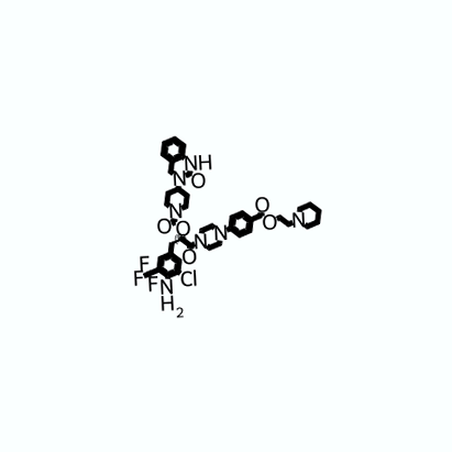 Nc1c(Cl)cc(C[C@@H](OC(=O)N2CCC(N3Cc4ccccc4NC3=O)CC2)C(=O)N2CCN(c3ccc(C(=O)OCCN4CCCCC4)cc3)CC2)cc1C(F)(F)F